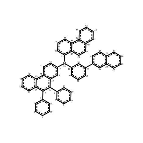 c1ccc(-c2c(-c3ccccc3)c3cc(N(c4cccc(-c5ccc6ccccc6c5)c4)c4cccc5c4ccc4ccccc45)ccc3c3ccccc23)cc1